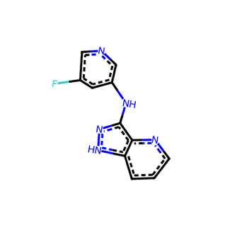 Fc1cncc(Nc2n[nH]c3cccnc23)c1